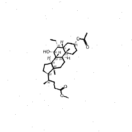 CC[C@H]1[C@@H](O)[C@@H]2[C@H](CC[C@]3(C)[C@@H]([C@H](C)CCC(=O)OC)CC[C@@H]23)[C@@]2(C)CC[C@@H](OC(C)=O)C[C@@H]12